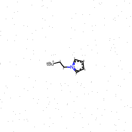 CC(C)(C)CCn1[c]ccc1